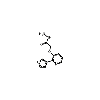 NNC(=O)COc1cccnc1-c1ccoc1